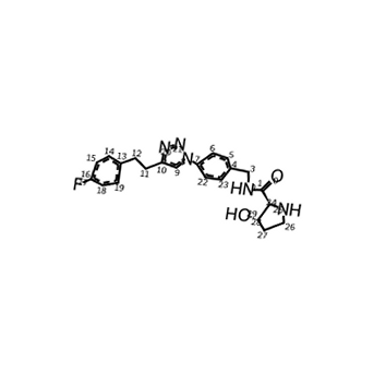 O=C(NCc1ccc(-n2cc(CCc3ccc(F)cc3)nn2)cc1)[C@H]1NCC[C@@H]1O